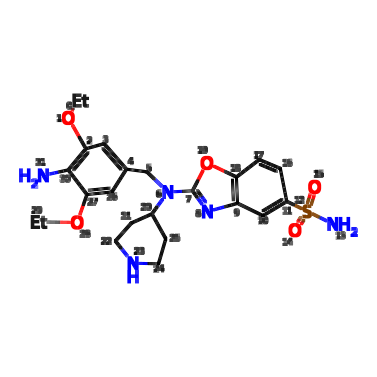 CCOc1cc(CN(c2nc3cc(S(N)(=O)=O)ccc3o2)C2CCNCC2)cc(OCC)c1N